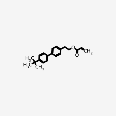 C=CC(=O)OCCc1ccc(-c2ccc(C(C)(C)C)cc2)cc1